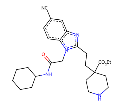 CCOC(=O)C1(CCc2nc3cc(C#N)ccc3n2CC(=O)NC2CCCCC2)CCNCC1